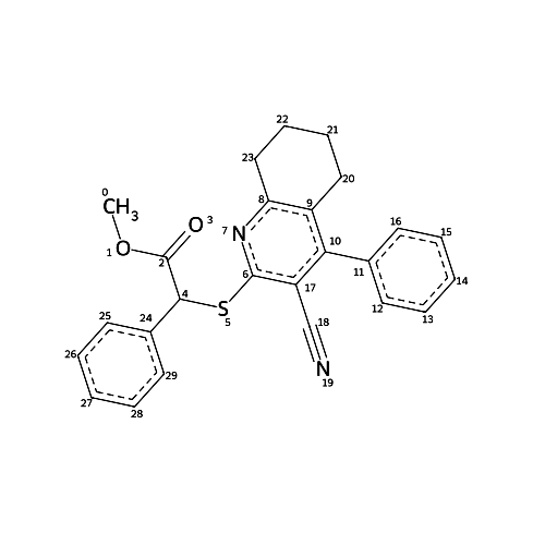 COC(=O)C(Sc1nc2c(c(-c3ccccc3)c1C#N)CCCC2)c1ccccc1